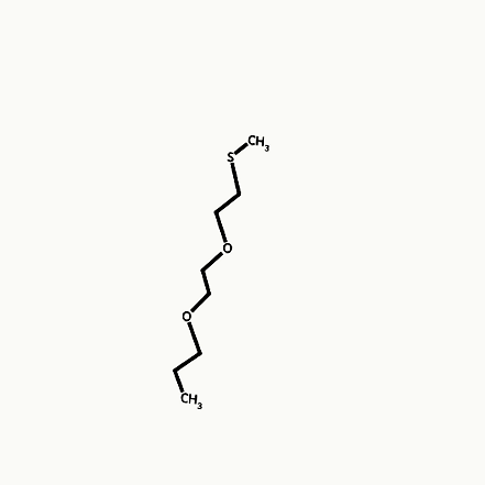 CCCOCCOCCSC